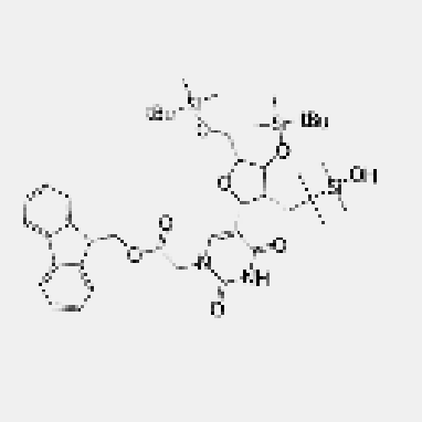 CC(C)(C[C@H]1C(O[Si](C)(C)C(C)(C)C)[C@@H](CO[Si](C)(C)C(C)(C)C)O[C@H]1c1cn(CC(=O)OCC2c3ccccc3-c3ccccc32)c(=O)[nH]c1=O)[Si](C)(C)O